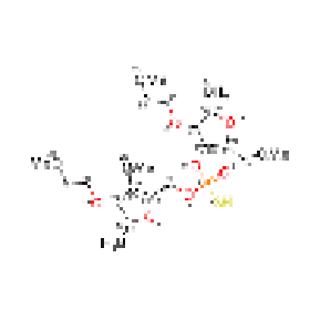 B[C@@H]1O[C@H](COP(=O)(S)O[C@@H]2C(OCCOC)[C@H](B)O[C@@H]2COC)[C@H](OC)C1OCCOC